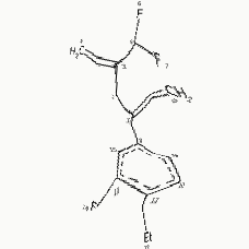 C=C(CC(=C)C(F)F)c1ccc(CC)c(F)c1